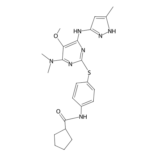 COc1c(Nc2cc(C)[nH]n2)nc(Sc2ccc(NC(=O)C3CCCC3)cc2)nc1N(C)C